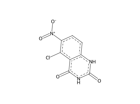 O=c1[nH]c(=O)c2c(Cl)c([N+](=O)[O-])ccc2[nH]1